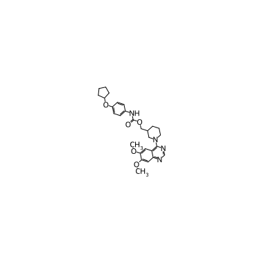 COc1cc2ncnc(N3CCCC(COC(=O)Nc4ccc(OC5CCCC5)cc4)C3)c2cc1OC